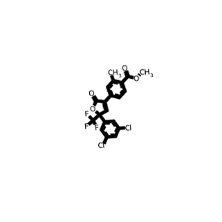 COC(=O)c1ccc(C2=CC(c3cc(Cl)cc(Cl)c3)(C(F)(F)F)OC2=O)cc1C